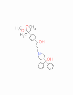 CCC(C)(C(=O)OC)c1ccc(C(O)CCCN2CCC(C(O)(c3ccccc3)c3ccccc3)CC2)cc1